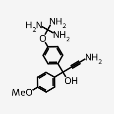 COc1ccc(C(O)(C#CN)c2ccc(OC(N)(N)N)cc2)cc1